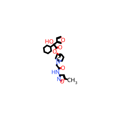 Cc1cc(NC(=O)C[N+]23CCC(CC2)C(OC(=O)[C@](O)(c2ccoc2)C2CCCCC2)C3)no1